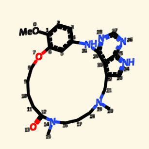 COc1ccc2cc1OCCCCC(=O)N(C)CCCN(C)Cc1c[nH]c3ncnc(c13)N2